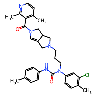 Cc1ccc(NC(=O)N(CCCN2CC3=CN(C(=O)c4c(C)ccnc4C)CC3C2)c2ccc(C)c(Cl)c2)cc1